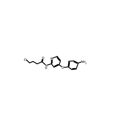 Nc1ccc(Oc2ccnc(NC(=O)CCCCl)c2)cc1